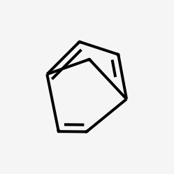 C1=CC2=CC=C1C2